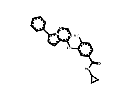 Cc1ccc(C(=O)NC2CC2)cc1Nc1ncnn2c(-c3ccccc3)ncc12